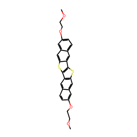 COCCOc1ccc2cc3c(cc2c1)sc1c2cc4ccc(OCCOC)cc4cc2sc31